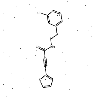 O=C(C#Cc1cccs1)NCCc1cccc(Cl)c1